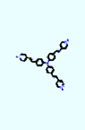 C[n+]1ccc(/C=C/c2ccc(N(c3ccc(/C=C/c4cc[n+](C)cc4)cc3)c3ccc(/C=C/c4cc[n+](C)cc4)cc3)cc2)cc1